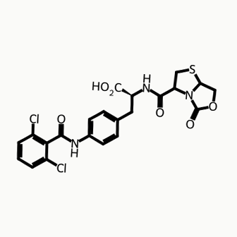 O=C(Nc1ccc(C[C@H](NC(=O)C2CSC3COC(=O)N32)C(=O)O)cc1)c1c(Cl)cccc1Cl